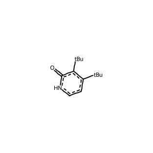 CC(C)(C)c1cc[nH]c(=O)c1C(C)(C)C